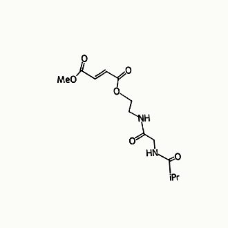 COC(=O)C=CC(=O)OCCNC(=O)CNC(=O)C(C)C